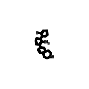 Cc1c(-c2ccc3c(c2)CCNCC3)cccc1-c1ccccc1F